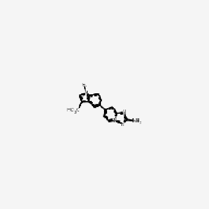 CCn1cc(C(=O)O)c2cc(-c3ccn4nc(N)nc4c3)ccc21